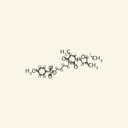 CC[C@H]1O[C@@H](n2cc(C)c(=O)n(CCCCOS(=O)(=O)c3ccc(C)cc3)c2=O)C[C@@H]1C